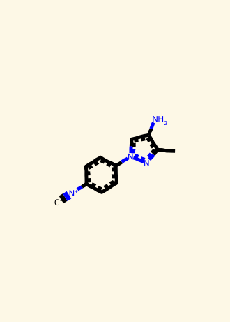 [C-]#[N+]c1ccc(-n2cc(N)c(C)n2)cc1